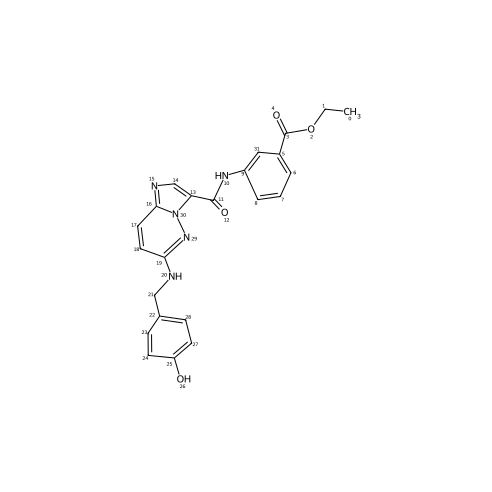 CCOC(=O)c1cccc(NC(=O)c2cnc3ccc(NCc4ccc(O)cc4)nn23)c1